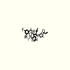 C=CC(=O)N1C[C@H](n2c(C#CC)c(C(=O)N[C@H](C)c3cc(F)cc(F)c3)c3c(N)ncnc32)C[C@@H]1C